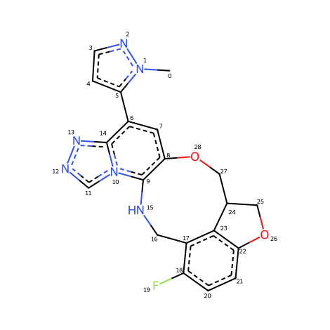 Cn1nccc1-c1cc2c(n3cnnc13)NCc1c(F)ccc3c1C(CO3)CO2